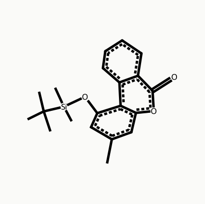 Cc1cc(O[Si](C)(C)C(C)(C)C)c2c(c1)oc(=O)c1ccccc12